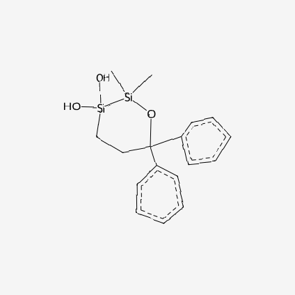 C[Si]1(C)OC(c2ccccc2)(c2ccccc2)CC[Si]1(O)O